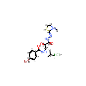 CC(C)C[C@H](NC(=O)c1ccc(Br)cc1)C(=O)C(=O)NN=C1SCCN1C.Cl